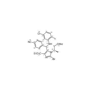 CCOC(=O)c1nc(Br)n([C@H](C)COC)c1C(Nc1cc(Cl)ccc1C)c1ccc(C#N)cc1